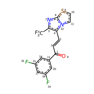 O=C(C=Cc1c(C(F)(F)F)nc2sccn12)c1cc(F)cc(F)c1